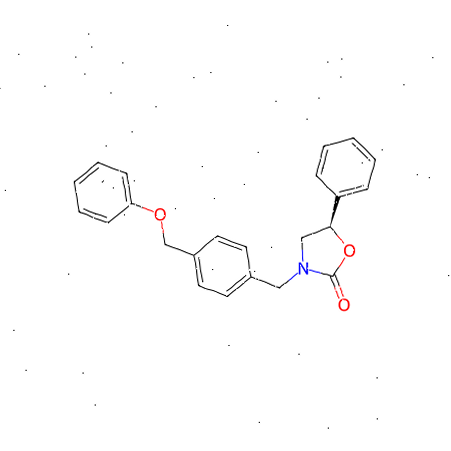 O=C1O[C@H](c2ccccc2)CN1Cc1ccc(COc2ccccc2)cc1